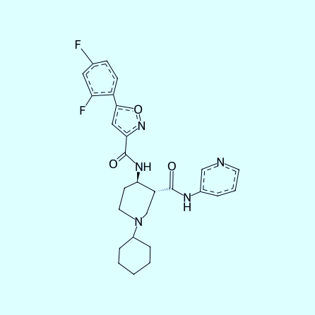 O=C(N[C@@H]1CCN(C2CCCCC2)C[C@H]1C(=O)Nc1cccnc1)c1cc(-c2ccc(F)cc2F)on1